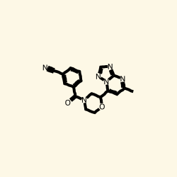 Cc1cc(C2CN(C(=O)c3cccc(C#N)c3)CCO2)n2ncnc2n1